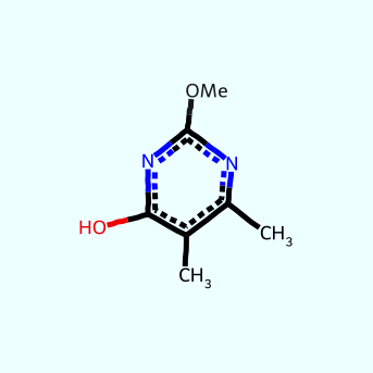 COc1nc(C)c(C)c(O)n1